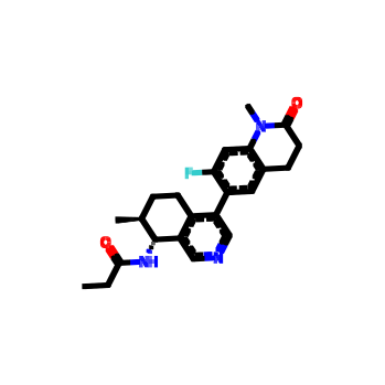 CCC(=O)N[C@H]1c2cncc(-c3cc4c(cc3F)N(C)C(=O)CC4)c2CC[C@@H]1C